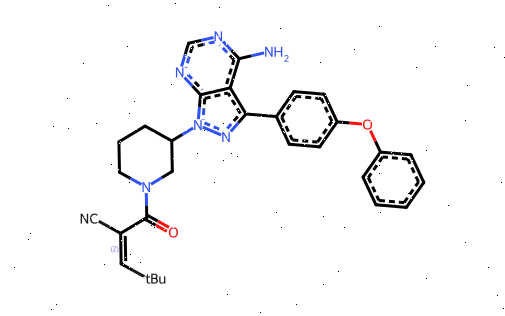 CC(C)(C)/C=C(/C#N)C(=O)N1CCCC(n2nc(-c3ccc(Oc4ccccc4)cc3)c3c(N)ncnc32)C1